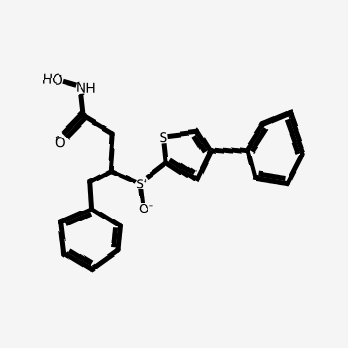 O=C(CC(Cc1ccccc1)[S+]([O-])c1cc(-c2ccccc2)cs1)NO